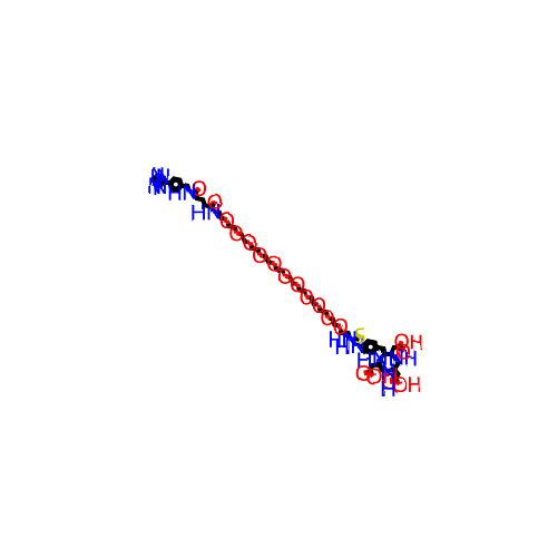 O=C(O)CC1CNC(CC(=O)O)C(Cc2ccc(NC(=S)NCCOCCOCCOCCOCCOCCOCCOCCOCCOCCOCCOCCNC(=O)CCCC(=O)NCc3ccc(-c4nncnn4)cc3)cc2)NC(CC(=O)O)CN1